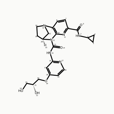 O=C(NC1CC1)c1ccc2c(n1)N(C(=O)Nc1cc(OC[C@H](O)CO)ccn1)[C@H]1CCN2C1